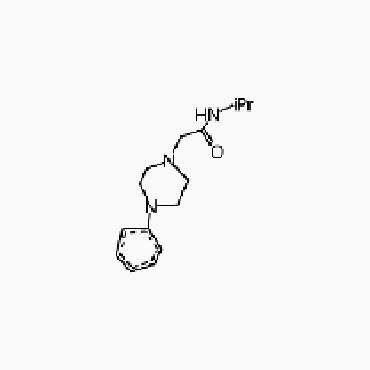 CC(C)NC(=O)CN1CCN(c2ccccc2)CC1